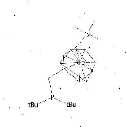 CC(C)(C)P(C[C]12[CH]3[CH]4[C]5([Si](C)(C)C)[CH]1[Fe]34251678[CH]2[CH]1[CH]6[CH]7[CH]28)C(C)(C)C